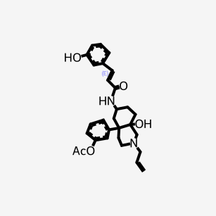 C=CCN1CCC2(c3cccc(OC(C)=O)c3)CC(NC(=O)/C=C/c3cccc(O)c3)CCC2(O)C1